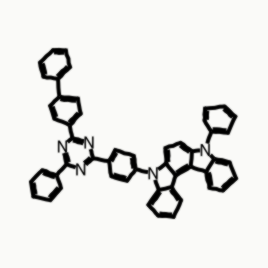 c1ccc(-c2ccc(-c3nc(-c4ccccc4)nc(-c4ccc(-n5c6ccccc6c6c7c8ccccc8n(-c8ccccc8)c7ccc65)cc4)n3)cc2)cc1